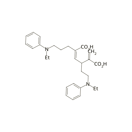 C=C(C(=O)O)C(C=C(CCCN(CC)c1ccccc1)C(=O)O)CCN(CC)c1ccccc1